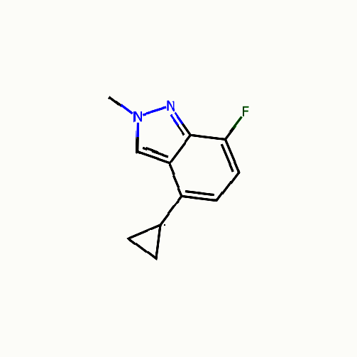 Cn1cc2c([C]3CC3)ccc(F)c2n1